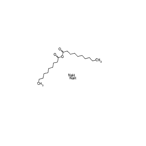 CCCCCCCCCC(=O)OC(=O)CCCCCCCCC.[NaH].[NaH]